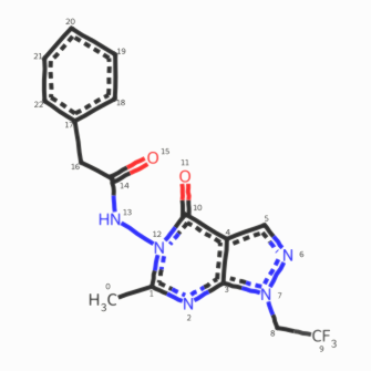 Cc1nc2c(cnn2CC(F)(F)F)c(=O)n1NC(=O)Cc1ccccc1